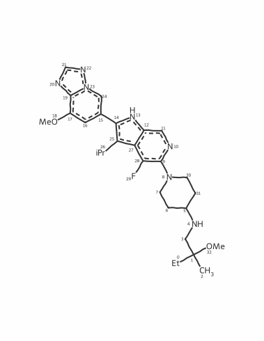 CCC(C)(CNC1CCN(c2ncc3[nH]c(-c4cc(OC)c5ncnn5c4)c(C(C)C)c3c2F)CC1)OC